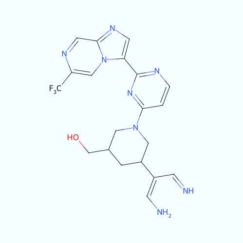 N=C/C(=C\N)C1CC(CO)CN(c2ccnc(-c3cnc4cnc(C(F)(F)F)cn34)n2)C1